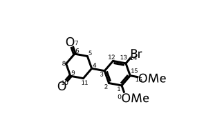 COc1cc(C2CC(=O)CC(=O)C2)cc(Br)c1OC